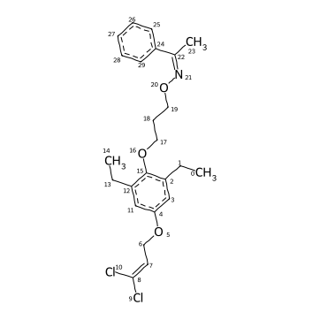 CCc1cc(OCC=C(Cl)Cl)cc(CC)c1OCCCON=C(C)c1ccccc1